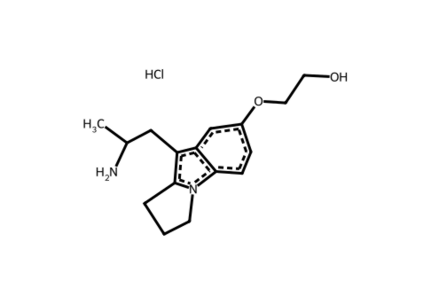 CC(N)Cc1c2n(c3ccc(OCCO)cc13)CCC2.Cl